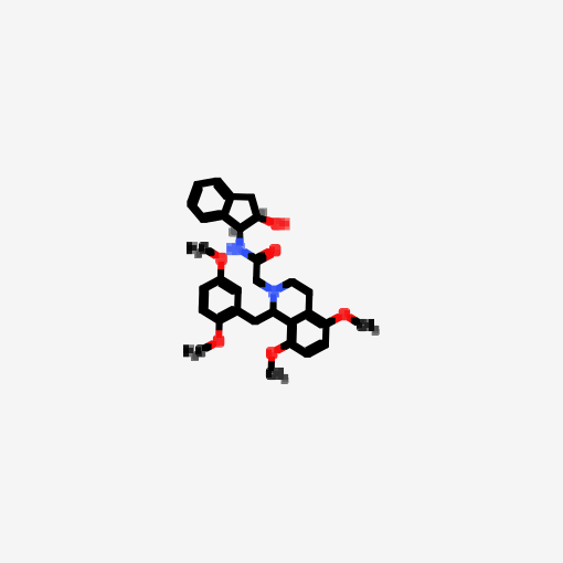 COc1ccc(OC)c(CC2c3c(OC)ccc(OC)c3CCN2CC(=O)N[C@H]2c3ccccc3C[C@H]2O)c1